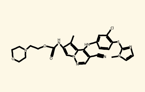 Cc1c(NC(=O)OCCN2CCOCC2)cn2ncc(C#N)c(Nc3ccc(Sc4nccn4C)c(Cl)c3)c12